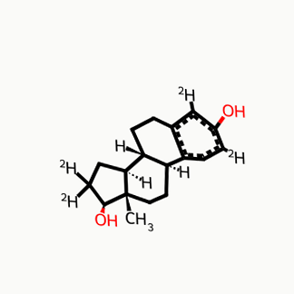 [2H]c1cc2c(c([2H])c1O)CC[C@@H]1[C@@H]2CC[C@@]2(C)[C@H]1CC([2H])([2H])[C@@H]2O